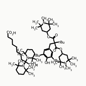 CC1(C)CCCC(C)(C)N1C(CCCCCCCC(=O)O)(C(=O)O)N1C(C)(C)CCCC1(C)C.CCCCC(Cc1cc(C(C)(C)C)c(O)c(C(C)(C)C)c1)(C(=O)OC1CC(C)(C)N(C)C(C)(C)C1)C(=O)OC1CC(C)(C)N(C)C(C)(C)C1